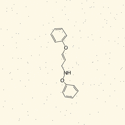 C(=COc1ccccc1)CNOc1ccccc1